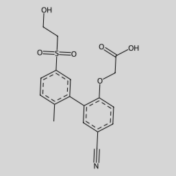 Cc1ccc(S(=O)(=O)CCO)cc1-c1cc(C#N)ccc1OCC(=O)O